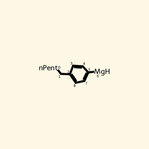 CCCCCCc1cc[c]([MgH])cc1